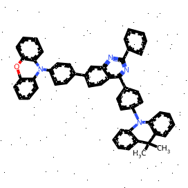 CC1(C)c2ccccc2N(c2ccc(-c3nc(-c4ccccc4)nc4cc(-c5ccc(N6c7ccccc7Oc7ccccc76)cc5)ccc34)cc2)c2ccccc21